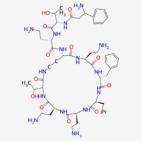 CC(C)C[C@@H]1NC(=O)[C@@H](Cc2ccccc2)NC(=O)[C@H](CCN)NC(=O)[C@@H](NC(=O)[C@H](CCN)NC(=O)[C@@H](NC(=O)CC(N)c2ccccc2)C(C)O)CCNC(=O)C(C(C)O)NC(=O)[C@H](CCN)NC(=O)[C@H](CCN)NC1=O